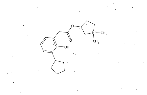 C[N+]1(C)CCC(OC(=O)Cc2cccc(C3CCCC3)c2O)C1